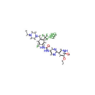 CCOc1cc(-c2ncc(NC(=O)Nc3cc(C(F)(F)F)c(CN4CCN(CC)CC4)cc3F)cn2)c[nH]c1=O.Cl.Cl.Cl